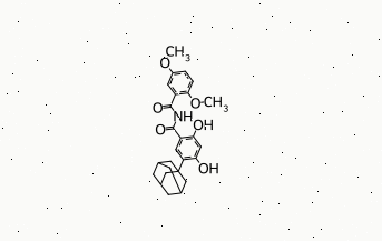 COc1ccc(OC)c(C(=O)NC(=O)c2cc(C34CC5CC(CC(C5)C3)C4)c(O)cc2O)c1